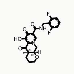 C[C@]12CCCO[C@H]1Cn1cc(C(=O)NCc3c(F)cccc3F)c(=O)c(O)c1C2=O